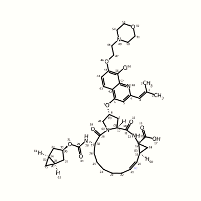 CC(C)=Cc1cc(O[C@@H]2C[C@H]3C(=O)N[C@]4(C(=O)O)C[C@H]4/C=C\CCCCC[C@H](NC(=O)O[C@@H]4C[C@@H]5C[C@@H]5C4)C(=O)N3C2)c2ccc(OCCN3CCOCC3)c(Cl)c2n1